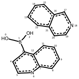 OB(O)c1ccnc2ccccc12.c1ccc2cnccc2c1